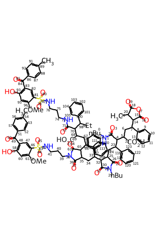 CCCCNC(=O)C(C(CC(c1ccccc1)C1C(=O)OC(=O)C1C)C(=O)O)C(CC1C(=O)N(CCCC)C(=O)C1C(CC1C(=O)N(CCCNS(=O)(=O)c2cc(C(=O)c3ccc(C)cc3)c(O)cc2OC)C(=O)C1C(CC(C(=O)O)C(C(=O)NCCCNS(=O)(=O)c1cc(C(=O)c2ccc(C)cc2)c(O)cc1OC)C(CC)c1ccccc1)c1ccccc1)c1ccccc1)c1ccccc1